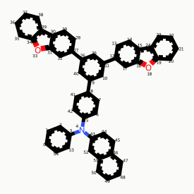 c1ccc(N(c2ccc(-c3cc(-c4ccc5c(c4)oc4ccccc45)cc(-c4ccc5c(c4)oc4ccccc45)c3)cc2)c2ccc3ccccc3c2)cc1